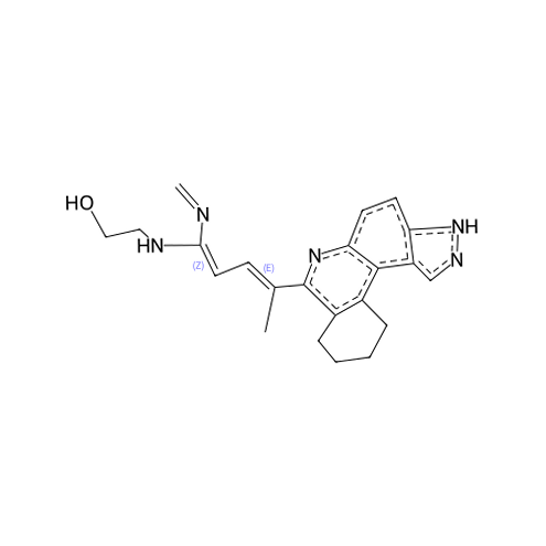 C=N/C(=C\C=C(/C)c1nc2ccc3[nH]ncc3c2c2c1CCCC2)NCCO